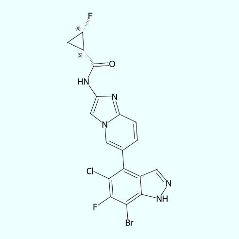 O=C(Nc1cn2cc(-c3c(Cl)c(F)c(Br)c4[nH]ncc34)ccc2n1)[C@@H]1C[C@@H]1F